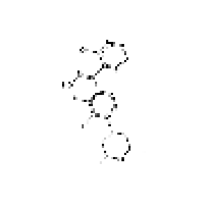 C[C@@H]1CN(c2[c]cc(/C(=N\O)c3nccnc3Cl)c(F)c2F)C[C@H](C)O1